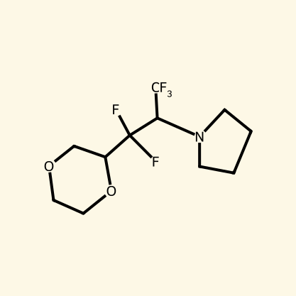 FC(F)(F)C(N1CCCC1)C(F)(F)C1COCCO1